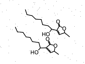 CCCCCCCC(O)C1=CC(C)OC1=O.CCCCCCCC(O)C1=CC(C)OC1=O